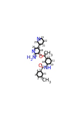 Cc1cccc(C(=O)Nc2cccc(C(C)Oc3cc(-c4cccnc4)cnc3N)c2)c1